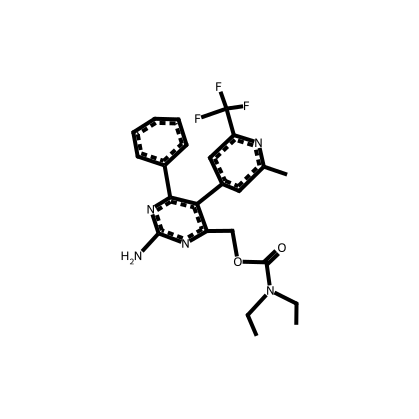 CCN(CC)C(=O)OCc1nc(N)nc(-c2ccccc2)c1-c1cc(C)nc(C(F)(F)F)c1